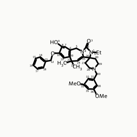 CCN1C(=O)N2Cc3cc(O)c(OCc4ccccc4)cc3C(C)(C)C=C2C12CCN(Cc1cc(OC)cc(OC)c1)CC2